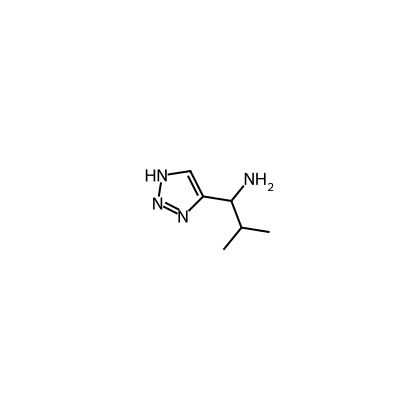 CC(C)C(N)c1c[nH]nn1